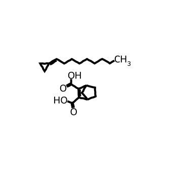 CCCCCCCCC=C1CC1.O=C(O)C1=C(C(=O)O)C2CCC1C2